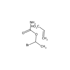 C=CC(=O)O.CC(Br)OC(N)=O